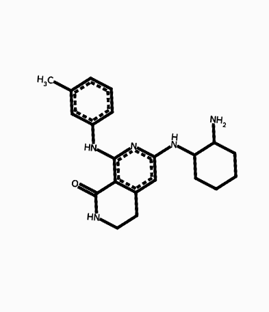 Cc1cccc(Nc2nc(NC3CCCCC3N)cc3c2C(=O)NCC3)c1